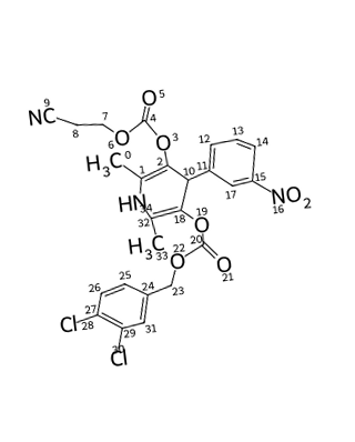 CC1=C(OC(=O)OCCC#N)C(c2cccc([N+](=O)[O-])c2)C(OC(=O)OCc2ccc(Cl)c(Cl)c2)=C(C)N1